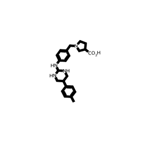 Cc1ccc(C2CNC(Nc3ccc(CN4CCC(C(=O)O)C4)cc3)NC2)cc1